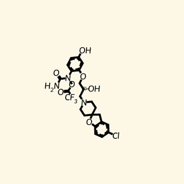 NC(=O)N(OC(=O)C(F)(F)F)c1ccc(O)cc1OC[C@H](O)CN1CCC2(CC1)Cc1cc(Cl)ccc1O2